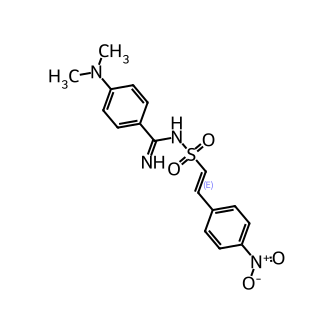 CN(C)c1ccc(C(=N)NS(=O)(=O)/C=C/c2ccc([N+](=O)[O-])cc2)cc1